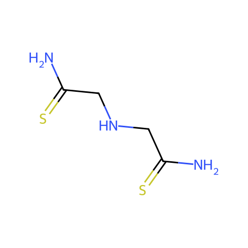 NC(=S)CNCC(N)=S